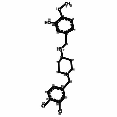 COc1ccc(CNC2CCN(Cc3ccc(Cl)c(Cl)c3)CC2)cc1O